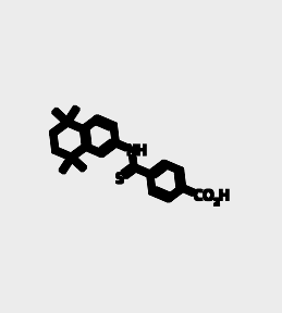 CC1(C)CCC(C)(C)c2cc(NC(=S)c3ccc(C(=O)O)cc3)ccc21